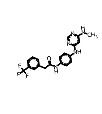 CNc1cc(Nc2ccc(NC(=O)Cc3cccc(C(F)(F)F)c3)cc2)ncn1